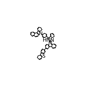 C1=CCC2N=C(N3c4ccc(-c5ccc6c7c(sc6c5)C=CCC7)cc4C4C=CC=CC43)NC(C3=CCC(n4c5c(c6c7ccccc7ccc64)C=CCC5)C=C3)C2=C1